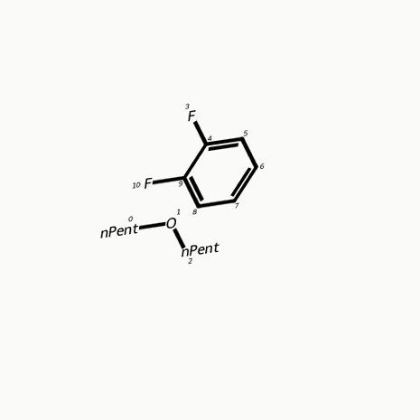 CCCCCOCCCCC.Fc1ccccc1F